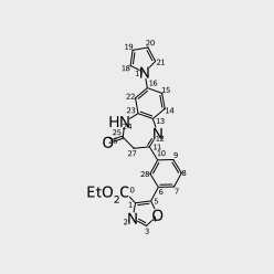 CCOC(=O)c1ncoc1-c1cccc(C2=Nc3ccc(-n4cccc4)cc3NC(=O)C2)c1